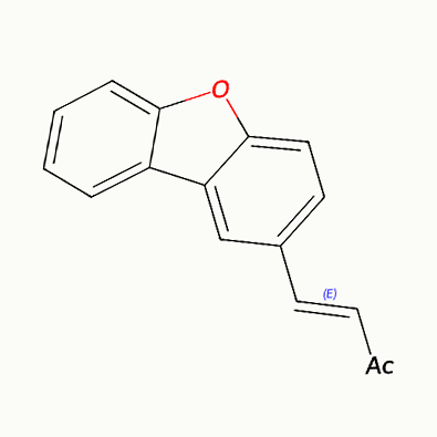 CC(=O)/C=C/c1ccc2oc3ccccc3c2c1